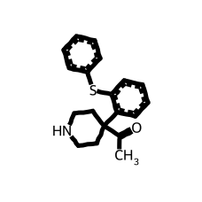 CC(=O)C1(c2ccccc2Sc2ccccc2)CCNCC1